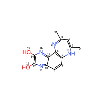 CC1=CC(C)=Nc2c(ccc3nc(O)c(O)nc23)N1